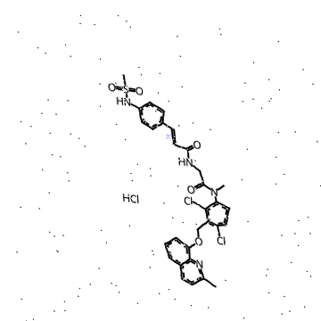 Cc1ccc2cccc(OCc3c(Cl)ccc(N(C)C(=O)CNC(=O)/C=C/c4ccc(NS(C)(=O)=O)cc4)c3Cl)c2n1.Cl